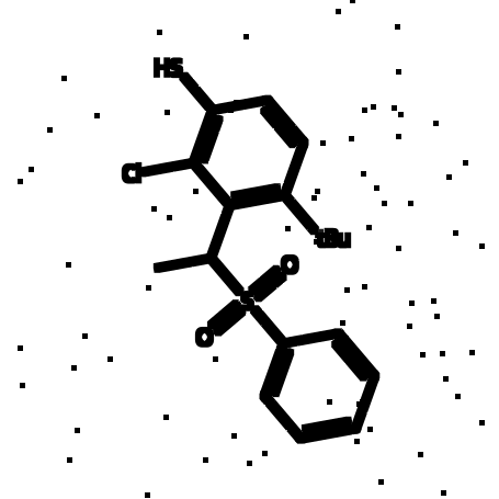 CC(c1c(C(C)(C)C)ccc(S)c1Cl)S(=O)(=O)c1ccccc1